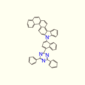 c1ccc(-c2nc(-c3ccccc3)nc(-c3ccc(-n4c5ccccc5c5c6ccc7ccc8ccccc8c7c6ccc54)c4ccccc34)n2)cc1